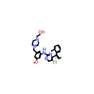 C/C=C(\c1ccccc1C)c1nc(Nc2cc(CN3CCN(CCO)CC3)cc(OC)c2)ncc1Cl